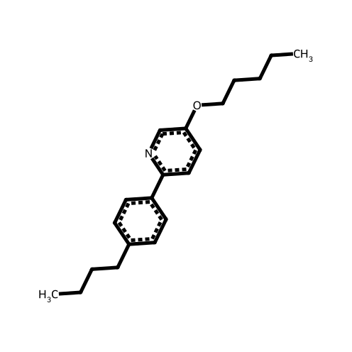 CCCCCOc1ccc(-c2ccc(CCCC)cc2)nc1